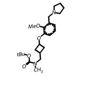 COc1c(CN2CCCC2)cccc1OC1CC(CN(C)C(=O)OC(C)(C)C)C1